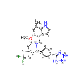 COc1cc(C)c2[nH]ccc2c1CN1CCC2(C[C@@H]1c1ccc(C3=NNNN3)cc1)CC(F)(F)C2